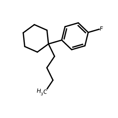 CCCCC1(c2ccc(F)cc2)CCCCC1